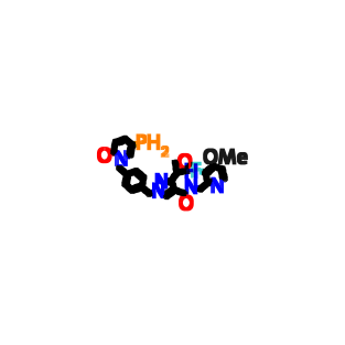 COc1ccnc(CNC(=O)c2cn(Cc3ccc(Cn4cc(P)ccc4=O)cc3)nc2C2COC2)c1F